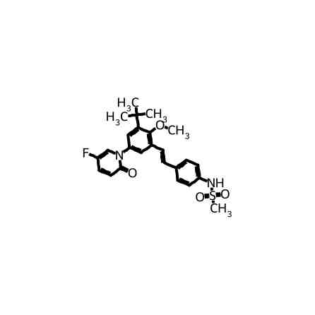 COc1c(C=Cc2ccc(NS(C)(=O)=O)cc2)cc(-n2cc(F)ccc2=O)cc1C(C)(C)C